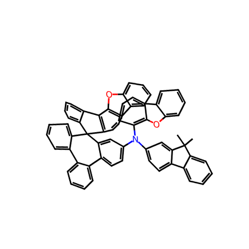 CC1(C)c2ccccc2-c2ccc(N(c3ccc4c(c3)C3(c5ccccc5-c5ccccc5-4)c4ccccc4-c4c3ccc3c4oc4ccccc43)c3cccc4c3oc3ccccc34)cc21